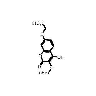 CCCCCCOc1c(O)c2ccc(OCC(=O)OCC)cc2oc1=O